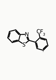 FC(F)(F)c1cc[c]cc1-c1nc2ccccc2s1